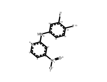 O=[N+]([O-])c1ccnc(Nc2ccc(F)c(F)c2)c1